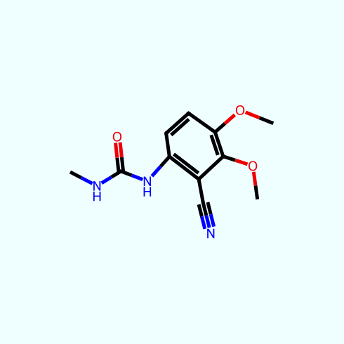 CNC(=O)Nc1ccc(OC)c(OC)c1C#N